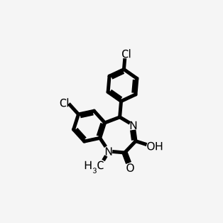 CN1C(=O)C(O)=NC(c2ccc(Cl)cc2)c2cc(Cl)ccc21